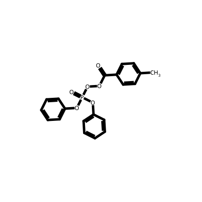 Cc1ccc(C(=O)OOP(=O)(Oc2ccccc2)Oc2ccccc2)cc1